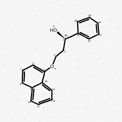 O[C@H](CCOc1cccc2ccccc12)c1ccccc1